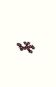 c1ccc(N(c2ccccc2)c2cc(N(c3ccc4sc5ccccc5c4c3)c3ccc4sc5ccccc5c4c3)c3oc4ccc(-c5cc6c7ccc8ccccc8c7oc6c6ccccc56)cc4c3c2)cc1